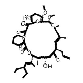 C=CC[C@@H]1/C=C(\C)C[C@H](C)C[C@H](OC)[C@H]2O[C@@](O)(C(=O)C(=O)N3CCCC[C@H]3C(=O)O[C@H](/C(C)=C/C(CC)CC)[C@H](C)[C@@H](O)CC1=O)[C@H](C)C[C@@H]2OC